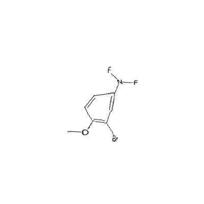 COc1ccc(N(F)F)cc1Br